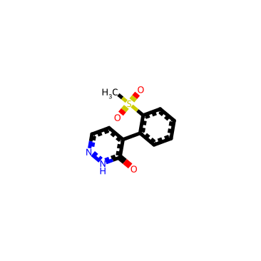 CS(=O)(=O)c1ccccc1-c1ccn[nH]c1=O